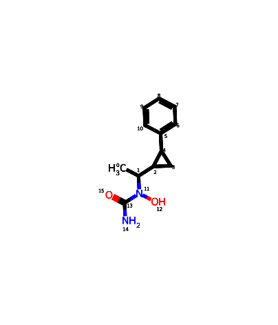 CC(C1CC1c1ccccc1)N(O)C(N)=O